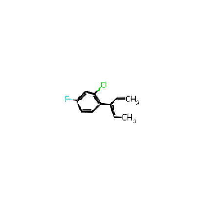 C=C/C(=C\C)c1ccc(F)cc1Cl